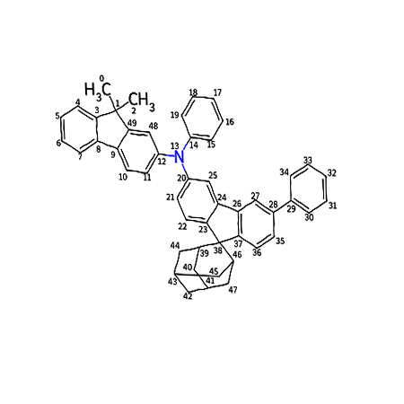 CC1(C)c2ccccc2-c2ccc(N(c3ccccc3)c3ccc4c(c3)-c3cc(-c5ccccc5)ccc3C43C4CC5CC(C4)CC3C5)cc21